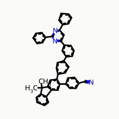 CC1(C)c2ccccc2-c2cc(-c3ccc(C#N)cc3)c(-c3ccc(-c4cccc(-c5cc(-c6ccccc6)nc(-c6ccccc6)n5)c4)cc3)cc21